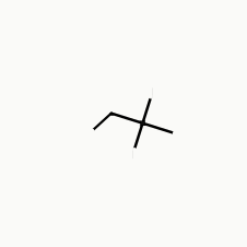 CC(I)(I)CO